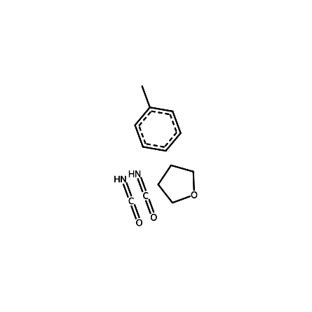 C1CCOC1.Cc1ccccc1.N=C=O.N=C=O